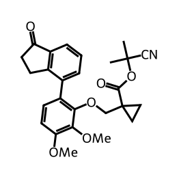 COc1ccc(-c2cccc3c2CCC3=O)c(OCC2(C(=O)OC(C)(C)C#N)CC2)c1OC